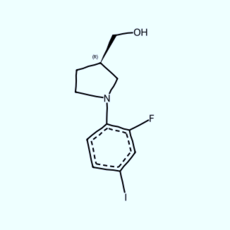 OC[C@@H]1CCN(c2ccc(I)cc2F)C1